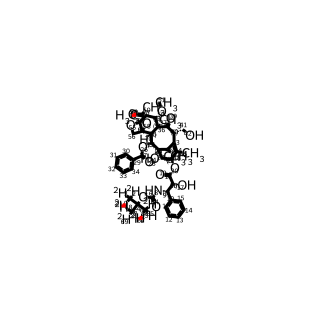 [2H]C([2H])([2H])C(OC(=O)N[C@@H](c1ccccc1)[C@@H](O)C(=O)O[C@H]1C[C@@]2(O)[C@@H](OC(=O)c3ccccc3)[C@H]3[C@](C)(C(=O)[C@H](CO)C(=C1C)C2(C)C)[C@@H](OC)C[C@@]1(C)OC[C@@]31OC(C)=O)(C([2H])([2H])[2H])C([2H])([2H])[2H]